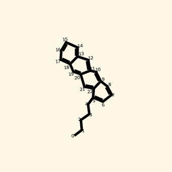 CCCCCc1cccc2cc3cc4ccccc4cc3cc12